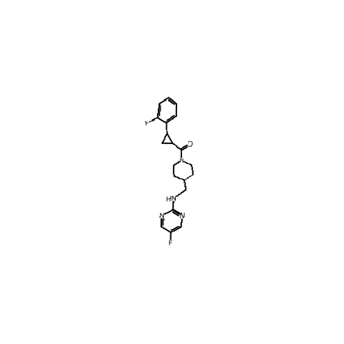 O=C(C1CC1c1ccccc1F)N1CCC(CNc2ncc(F)cn2)CC1